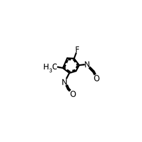 Cc1cc(F)c(N=C=O)cc1N=C=O